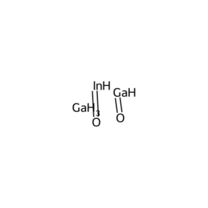 [GaH3].[O]=[GaH].[O]=[InH]